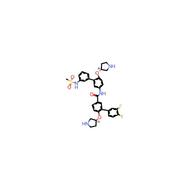 CS(=O)(=O)Nc1cccc(-c2cc(NC(=O)c3ccc(O[C@H]4CCNC4)c(-c4ccc(F)c(F)c4)c3)ccc2O[C@@H]2CCNC2)c1